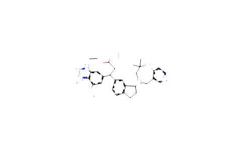 CCOC(O)CC(c1ccc2c(c1)C(N1Cc3cnccc3OC(C)(C)C1)CC2)c1cc(OC)c2c(c1)nnn2C